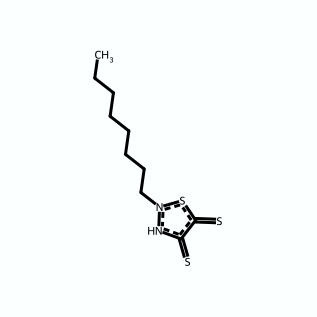 CCCCCCCCn1[nH]c(=S)c(=S)s1